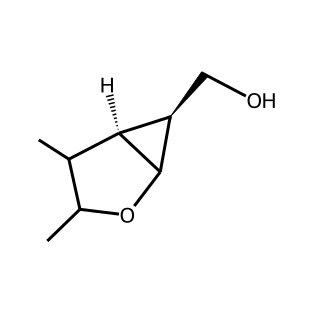 CC1OC2[C@@H](C1C)[C@H]2CO